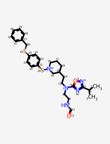 CC(C)c1noc(N(CCNC=O)CCC2CCCN(Sc3ccc(SCc4ccccc4)cc3)C2)n1